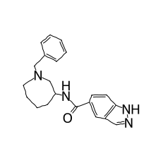 O=C(NC1CCCCN(Cc2ccccc2)C1)c1ccc2[nH]ncc2c1